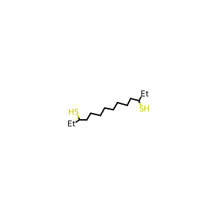 CCC(S)CCCCCCCCC(S)CC